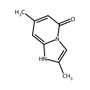 Cc1cc(=O)n2cc(C)[nH]c2c1